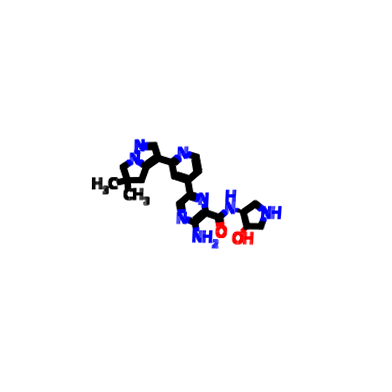 CC1(C)Cc2c(-c3cc(-c4cnc(N)c(C(=O)N[C@@H]5CNC[C@H]5O)n4)ccn3)cnn2C1